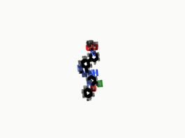 CC(C)(C)OC(=O)N1CCCC(c2ccc3ncnc(Nc4cnc(Oc5ccccc5)c(Cl)c4)c3c2)C1